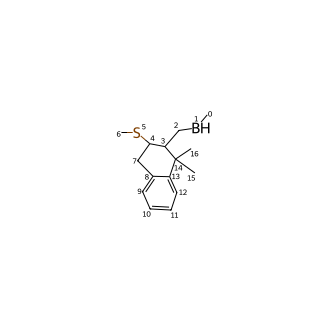 CBCC1C(SC)Cc2ccccc2C1(C)C